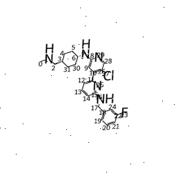 CNC[C@H]1CC[C@H](Nc2cc(-c3cccc(NCc4cccc(F)c4)n3)c(Cl)cn2)CC1